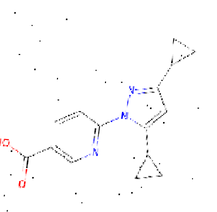 O=C(O)c1ccc(-n2nc(C3CC3)cc2C2CC2)nc1